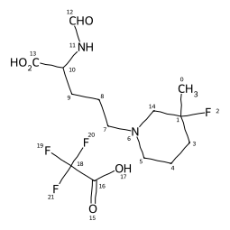 CC1(F)CCCN(CCCC(NC=O)C(=O)O)C1.O=C(O)C(F)(F)F